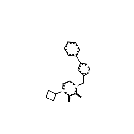 O=c1c(=O)n(C2CCC2)ccn1Cc1cc(-c2ccccc2)n[nH]1